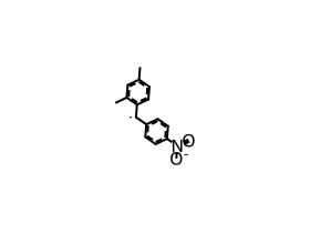 Cc1ccc([CH]c2ccc([N+](=O)[O-])cc2)c(C)c1